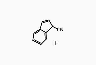 N#CC1C=Cc2ccccc21.[H+]